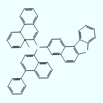 CC12C=CC=CC1c1ccccc1C=C2N(c1ccc2c(ccc3sc4ccccc4c32)c1)c1ccc(-c2ccccc2)c2ccccc12